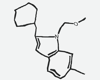 COCn1c(C2CCCC2)cc2ccc(C)cc21